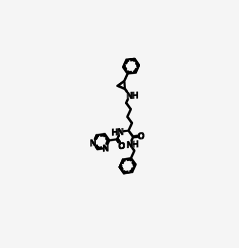 O=C(NC(CCCCNC1CC1c1ccccc1)C(=O)NCc1ccccc1)c1ccncn1